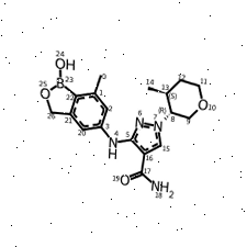 Cc1cc(Nc2nn([C@H]3COCC[C@@H]3C)cc2C(N)=O)cc2c1B(O)OC2